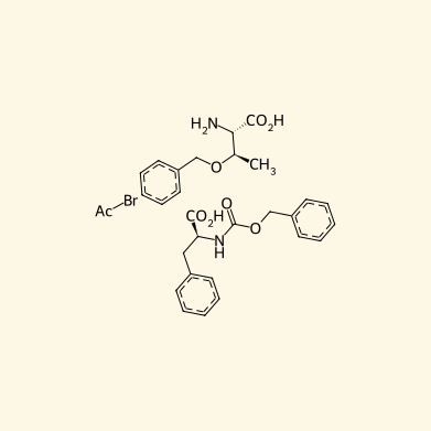 CC(=O)Br.C[C@@H](OCc1ccccc1)[C@H](N)C(=O)O.O=C(N[C@@H](Cc1ccccc1)C(=O)O)OCc1ccccc1